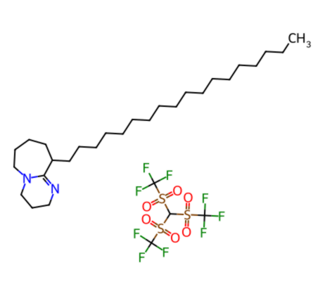 CCCCCCCCCCCCCCCCCCC1CCCCN2CCCN=C12.O=S(=O)(C(S(=O)(=O)C(F)(F)F)S(=O)(=O)C(F)(F)F)C(F)(F)F